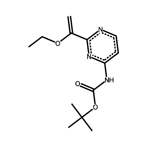 C=C(OCC)c1nccc(NC(=O)OC(C)(C)C)n1